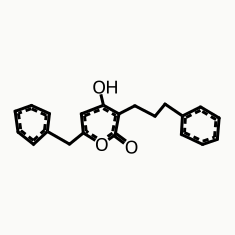 O=c1oc(Cc2ccccc2)cc(O)c1CCCc1ccccc1